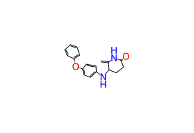 C=C1NC(=O)CCC1Nc1ccc(Oc2ccccc2)cc1